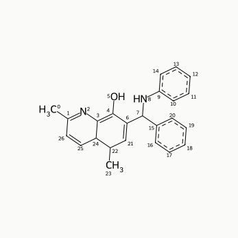 CC1=NC2=C(O)C(C(Nc3ccccc3)c3ccccc3)=CC(C)C2C=C1